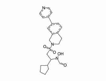 O=CN(O)C(CS(=O)(=O)N1CCc2ccc(-c3ccncc3)cc2C1)C1CCCC1